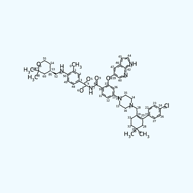 Cc1cc(S(=O)(=O)NC(=O)c2ccc(N3CCN(CC4=C(c5ccc(Cl)cc5)CC(C)(C)CC4)CC3)cc2Oc2cnc3[nH]ccc3c2)ccc1NC[C@@H]1CCOC(C)(C)C1